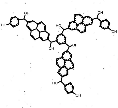 Oc1ccc(C(O)C2=CC3=CC=C4C=C(C(O)c5cc(C(O)c6cc7ccc8cc(C(O)c9ccc(O)cc9)cc9ccc(c6)c7c89)cc(C(O)c6cc7ccc8cc(C(O)c9ccc(O)cc9)cc9ccc(c6)c7c89)c5)C=C5C=CC(=C2)C3C45)cc1